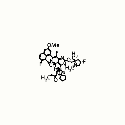 C#Cc1c(F)ccc2cc(OC)cc(-c3ncc4c(NCC5(N(C)C(=O)C=C)CCCC5)nc(OC[C@]5(C)C[C@@H](F)CN5C)nc4c3F)c12